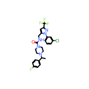 CC(c1ccc(F)cc1)N1CCN(C(=O)NCc2cc(C(F)(F)F)nn2-c2cccc(Cl)c2)CC1